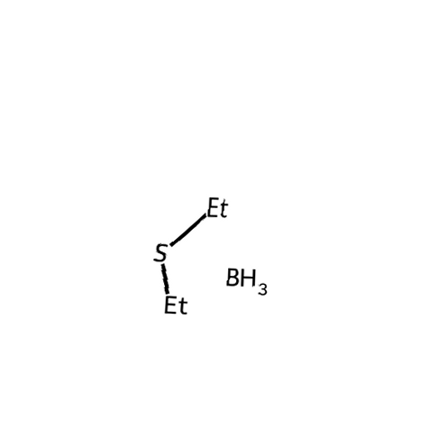 B.CCSCC